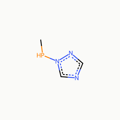 CPn1cncn1